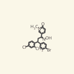 Cc1cc(Cl)ccc1C(CC(=NO)c1ccc(=O)n(C)c1)c1ccc(Br)cc1